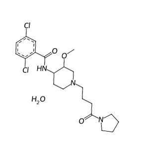 COC1CN(CCCC(=O)N2CCCC2)CCC1NC(=O)c1cc(Cl)ccc1Cl.O